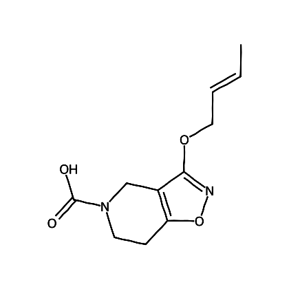 C/C=C/COc1noc2c1CN(C(=O)O)CC2